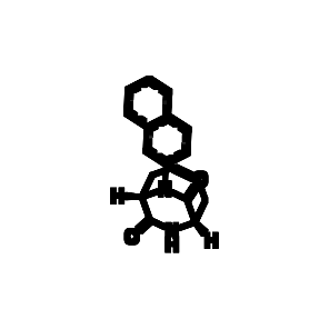 O=C1N[C@H]2CC=CC[C@@H]1N(c1ccc3ccccc3c1)C2=O